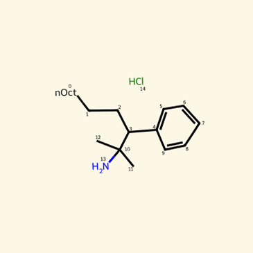 CCCCCCCCCCC(c1ccccc1)C(C)(C)N.Cl